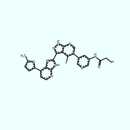 Cc1ccc(-c2ccnc3[nH]c(-c4n[nH]c5ncc(-c6cncc(NC(=O)CC(C)C)c6)c(F)c45)nc23)s1